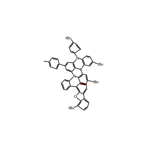 Cc1ccc(-c2cc3c4c(c2)N(c2ccccc2-c2cccc5c2oc2c(C(C)(C)C)cccc25)c2ccc(C(C)(C)C)cc2B4c2cc(C(C)(C)C)ccc2N3c2ccc(C(C)(C)C)cc2)cc1